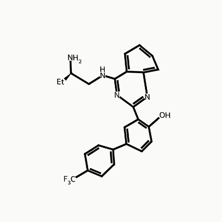 CC[C@@H](N)CNc1nc(-c2cc(-c3ccc(C(F)(F)F)cc3)ccc2O)nc2ccccc12